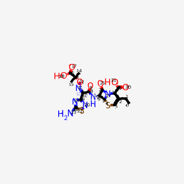 CCC1=CSC2[C@H](NC(=O)/C(=N\OC(C)(C)C(=O)O)c3nsc(N)n3)C(=O)N2C1C(=O)O